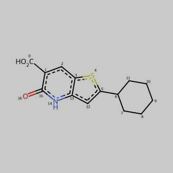 O=C(O)c1cc2sc(C3CCCCC3)cc2[nH]c1=O